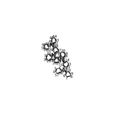 c1ccc(N(c2ccccc2)c2cccc(-n3c4ccccc4c4c3ccc3c5ccccc5n(-c5cccc(N(c6ccccc6)c6ccccc6)c5)c34)c2)cc1